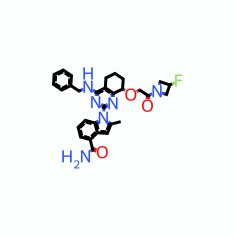 Cc1cc2c(C(N)=O)cccc2n1-c1nc(NCc2ccccc2)c2c(n1)C(OCC(=O)N1CC(F)C1)CCC2